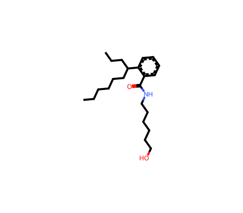 CCCCCCC(CCC)c1ccccc1C(=O)NCCCCCCO